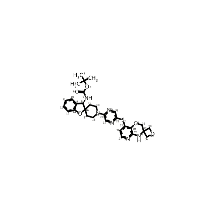 CC(C)(C)OC(=O)N[C@@H]1c2ccccc2OC12CCN(c1cnc(Sc3ccnc4c3OCC3(COC3)N4)cn1)CC2